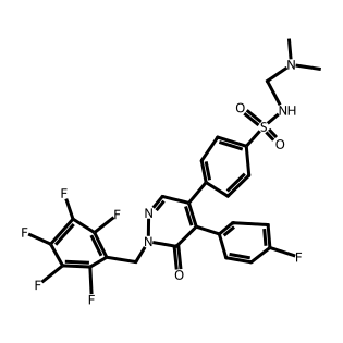 CN(C)CNS(=O)(=O)c1ccc(-c2cnn(Cc3c(F)c(F)c(F)c(F)c3F)c(=O)c2-c2ccc(F)cc2)cc1